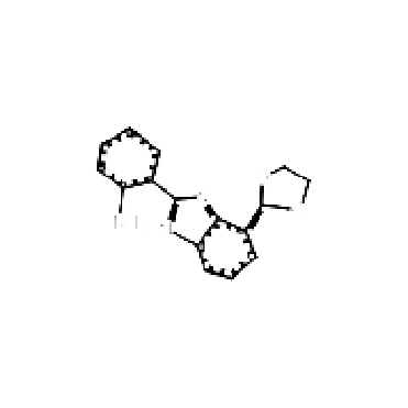 Nc1ccccc1C1=Nc2cccc(=C3OCCO3)c2=N1